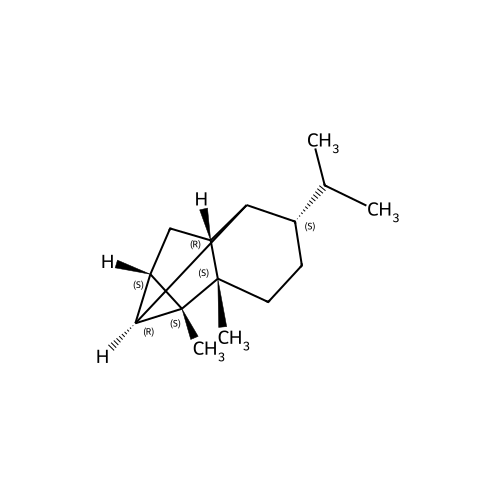 CC(C)[C@@H]1CC[C@@]2(C)[C@@H]3C[C@H]4[C@@H](C13)[C@]42C